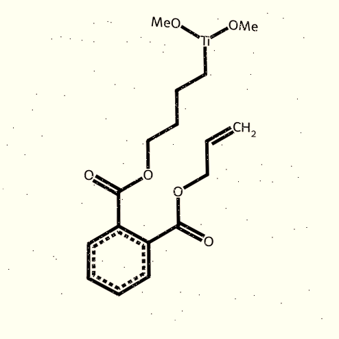 C=CCOC(=O)c1ccccc1C(=O)OCCC[CH2][Ti]([O]C)[O]C